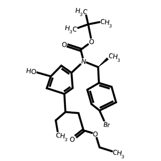 CCOC(=O)CC(CC)c1cc(O)cc(N(C(=O)OC(C)(C)C)[C@@H](C)c2ccc(Br)cc2)c1